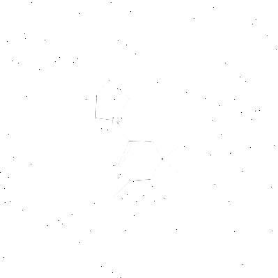 CC1C=C(N2CCCC2)CC(C)(C)C1